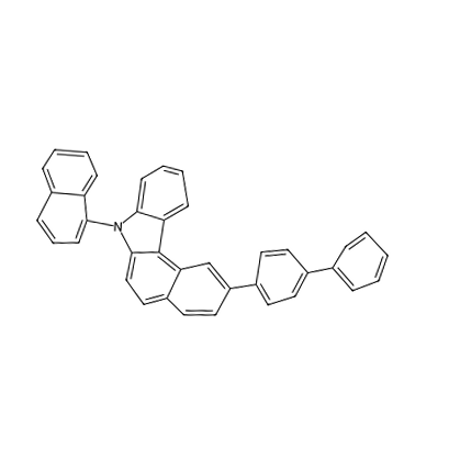 c1ccc(-c2ccc(-c3ccc4ccc5c(c4c3)c3ccccc3n5-c3cccc4ccccc34)cc2)cc1